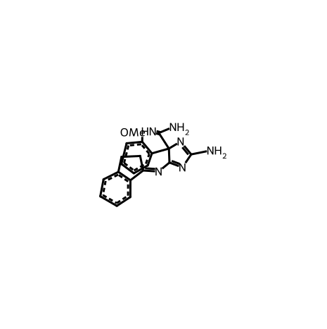 COc1ccccc1C1(C(=N)N)N=C(N)N=C1N=C1CCc2ccccc21